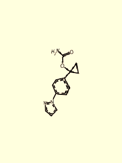 NC(=O)OC1(c2ccc(-n3cccn3)cc2)CC1